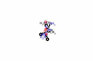 CC(C)C[C@@H](NC(=O)[C@@H](Cc1ccccc1)NC(=O)[C@H](N)Cc1ccccc1)C(=O)N[C@H](CCCCN)C(=O)N1CCC(P(C)(C)=O)CC1